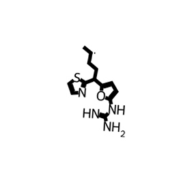 C[CH]CCC(c1ccc(NC(=N)N)o1)c1nccs1